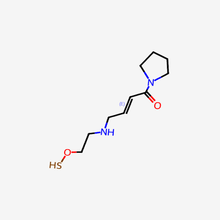 O=C(/C=C/CNCCOS)N1CCCC1